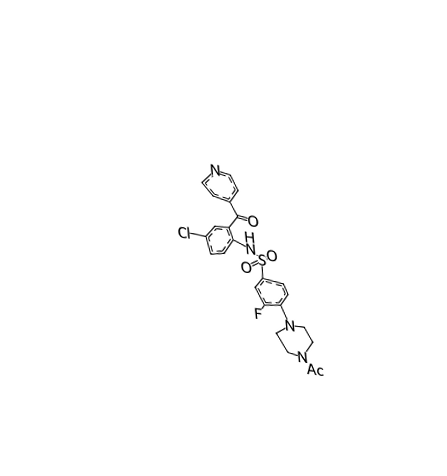 CC(=O)N1CCN(c2ccc(S(=O)(=O)Nc3ccc(Cl)cc3C(=O)c3ccncc3)cc2F)CC1